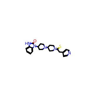 O=c1[nH]c2ccccc2n1C1CCN(C2CCN(C(=S)Cc3ccncc3)CC2)CC1